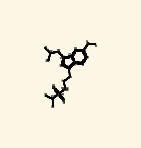 COc1ccc2c(CCNS(=O)(=O)N(C)C)cn(CC(C)C)c2c1